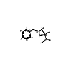 CC(C)C1(C)CN(Cc2ccccc2)C1